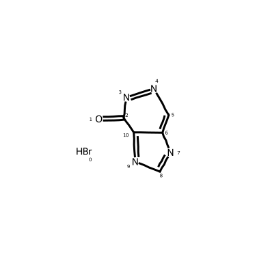 Br.O=C1N=NC=C2N=CN=C12